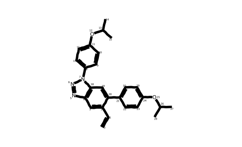 C=Cc1cc2nnn(-c3ccc(OC(C)C)cc3)c2cc1-c1ccc(OC(C)C)cc1